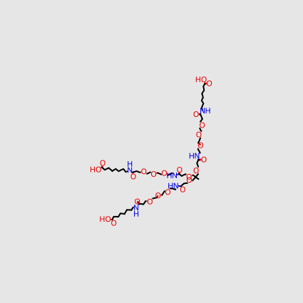 CC(COCCC(=O)NCCOCCOCCOCCC(=O)NCCCCCCCC(=O)O)(COCCC(=O)NCCOCCOCCOCCC(=O)NCCCCCCCC(=O)O)COCCC(=O)NCCOCCOCCOCCC(=O)NCCCCCCCC(=O)O